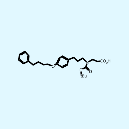 CC(C)(C)OC(=O)N(CCCc1ccc(OCCCCc2ccccc2)cc1)CCC(=O)O